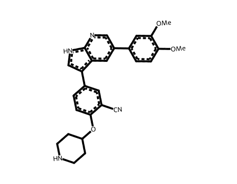 COc1ccc(-c2cnc3[nH]cc(-c4ccc(OC5CCNCC5)c(C#N)c4)c3c2)cc1OC